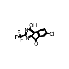 O=C1c2cc(Cl)ccc2-c2c(O)nc(C(F)(F)F)nc21